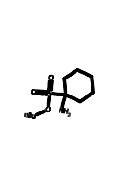 CCCCOS(=O)(=O)C1(N)CCCCC1